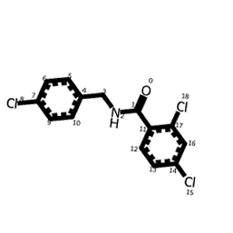 O=C(NCc1ccc(Cl)cc1)c1ccc(Cl)cc1Cl